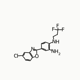 Nc1cc(-c2nc3cc(Cl)ccc3o2)ccc1NCCC(F)(F)F